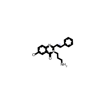 NCCCn1c(/C=C/c2ccccc2)nc2ccc(Cl)cc2c1=O